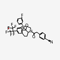 N#Cc1ccc(CC(=O)N2CCC3(S(=O)(=O)c4cccc(F)c4)c4ccc(C(F)(C(F)(F)F)C(F)(F)F)cc4CCC23)cc1